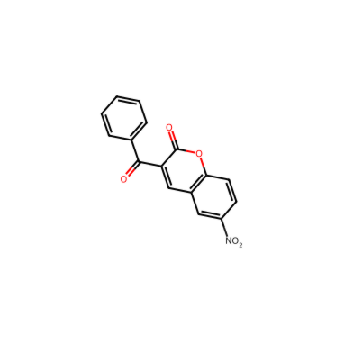 O=C(c1ccccc1)c1cc2cc([N+](=O)[O-])ccc2oc1=O